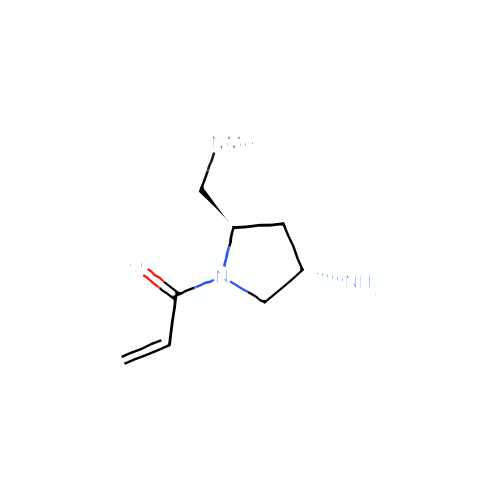 C=CC(=O)N1C[C@@H](N)C[C@@H]1CNC